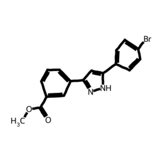 COC(=O)c1cccc(-c2cc(-c3ccc(Br)cc3)[nH]n2)c1